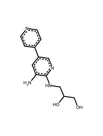 Nc1cc(-c2ccncc2)cnc1NCC(O)CO